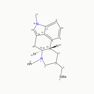 CCCN1CC(CSC)C[C@H]2c3cccc4c3c(cn4C)C[C@@H]21